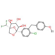 CCOc1ccc(Cc2cc([C@]34OC[C@](C(F)F)(O3)[C@@H](O)[C@H](O)[C@H]4O)ccc2Cl)cc1